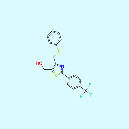 OCc1sc(-c2ccc(C(F)(F)F)cc2)nc1CSc1ccccc1